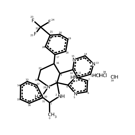 CC(NC1(c2ncc[nH]2)C(c2ccncn2)C(c2cccc(C(F)(F)F)c2)CCN1C)c1ccccc1.Cl.Cl.Cl